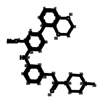 COc1nc(-c2cccc3c2OCCO3)ccc1Nc1cccc(CC(=O)N2CCN(C)CC2)c1